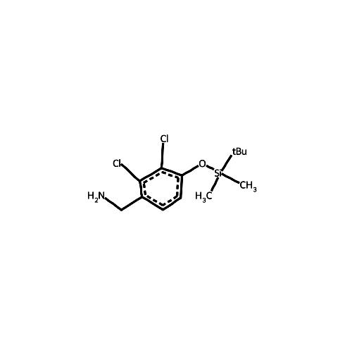 CC(C)(C)[Si](C)(C)Oc1ccc(CN)c(Cl)c1Cl